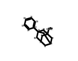 CCCC12CC3CC(C1)CC(c1ccccc1)(C3)C2